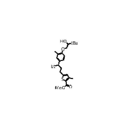 CCC(CCc1cc(C)c(C(=O)OC)s1)c1ccc(OCC(O)C(C)(C)C)c(C)c1